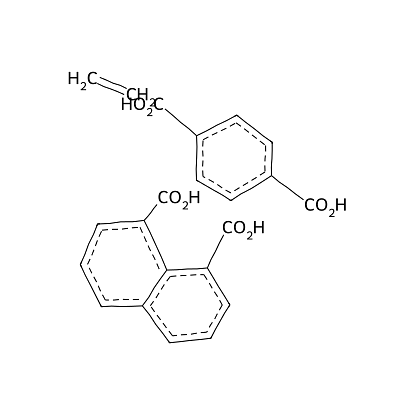 C=C.O=C(O)c1ccc(C(=O)O)cc1.O=C(O)c1cccc2cccc(C(=O)O)c12